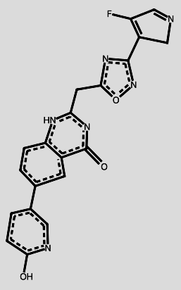 O=c1nc(Cc2nc(C3=C(F)C=NC3)no2)[nH]c2ccc(-c3ccc(O)nc3)cc12